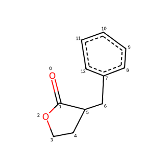 O=C1OCCC1Cc1ccccc1